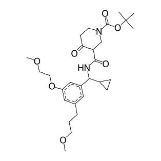 COCCCc1cc(OCCOC)cc(C(NC(=O)C2CN(C(=O)OC(C)(C)C)CCC2=O)C2CC2)c1